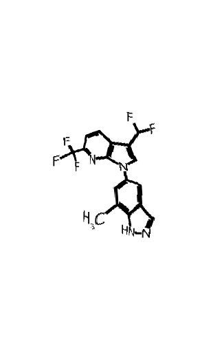 Cc1cc(-n2cc(C(F)F)c3ccc(C(F)(F)F)nc32)cc2cn[nH]c12